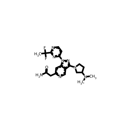 CN(C)C1CCN(c2nn(-c3ccnc(C(C)(F)F)n3)c3cc(CC(N)=O)ncc23)C1